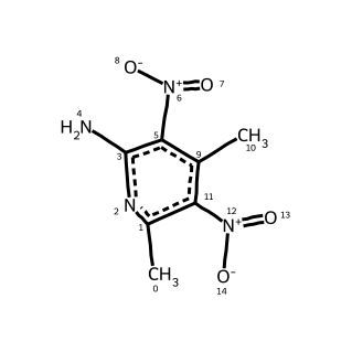 Cc1nc(N)c([N+](=O)[O-])c(C)c1[N+](=O)[O-]